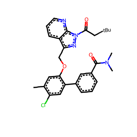 Cc1cc(OCc2nn(C(=O)CC(C)(C)C)c3ncccc23)c(-c2cccc(C(=O)N(C)C)c2)cc1Cl